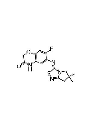 CC1(C)Cc2nsc(=Nc3cc4c(cc3F)OCC(=O)N4)n2C1